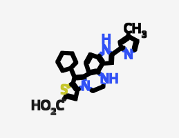 Cc1ccnc(-c2cc3c4c(ccc3[nH]2)-c2c(C3CCCCC3)c3sc(C(=O)O)cc3n2CCN4)c1